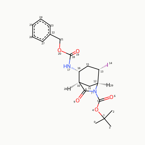 CC(C)(C)OC(=O)N1C(=O)[C@@H]2C[C@H]1[C@@H](I)C[C@H]2NC(=O)OCc1ccccc1